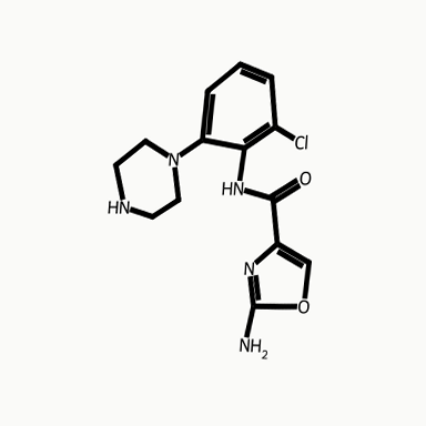 Nc1nc(C(=O)Nc2c(Cl)cccc2N2CCNCC2)co1